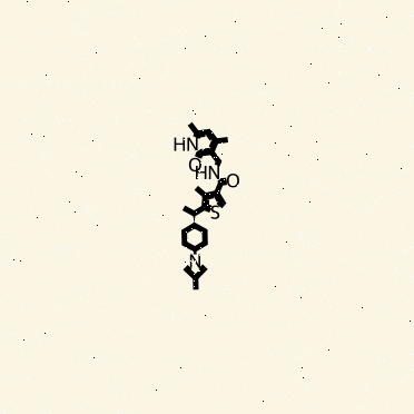 Cc1cc(C)c(CNC(=O)c2csc(C(C)[C@H]3CC[C@H](N4CC(C)C4)CC3)c2C)c(=O)[nH]1